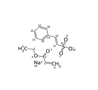 C=CC(=O)OCC.O=S(=O)([O-])C=Cc1ccccc1.[Na+]